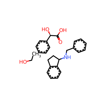 CCO.O=C(O)[C@H](O)c1ccccc1.c1ccc(CNC2CCc3ccccc32)cc1